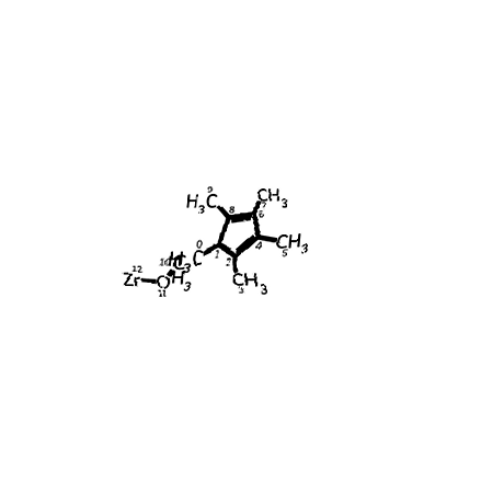 C[C]1C(C)=C(C)C(C)=C1C.C[O][Zr]